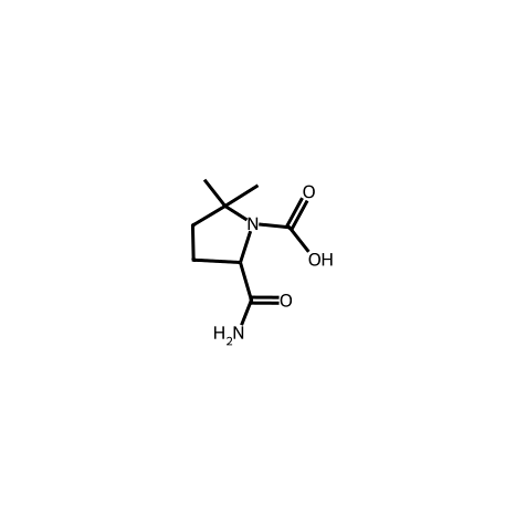 CC1(C)CCC(C(N)=O)N1C(=O)O